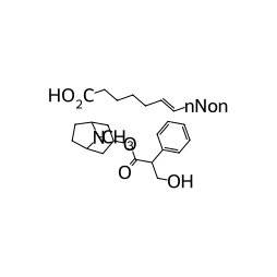 CCCCCCCCCC=CCCCCC(=O)O.CN1C2CCC1CC(OC(=O)C(CO)c1ccccc1)C2